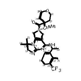 COC1(C(=O)N2CC3=C(C2)N2C(=NCC2(C)C)N=C3NC(C)c2cccc(C(F)(F)F)c2C)CCOCC1